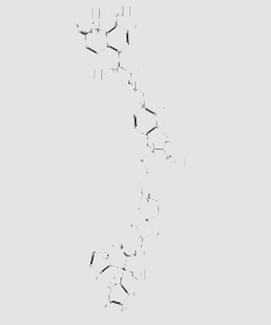 O=C(OC1CC2(CCN(CCCN3c4ccc(CNC[C@H](O)c5ccc(O)c6[nH]c(=O)ccc56)cc4SC3O)C2)C1)C(O)(c1cccs1)c1cccs1